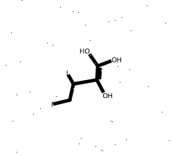 OC(O)=C(O)C(I)CI